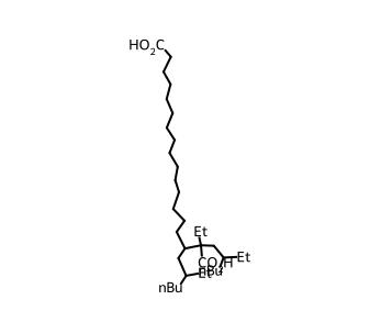 CCCCC(CC)CC(CCCCCCCCCCCCCCC(=O)O)C(CC)(CC(CC)CCCC)C(=O)O